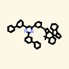 CC1(C)c2ccccc2C2(c3ccccc3-c3ccccc32)c2ccc(-c3cccc(-c4cc(-c5cccc(-c6ccccc6)c5)nc(-c5cccc(-c6ccccc6)c5)n4)c3)cc21